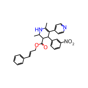 CC1=C(c2ccncc2)C(c2cccc([N+](=O)[O-])c2)C(C(=O)OC/C=C/c2ccccc2)C(C)N1